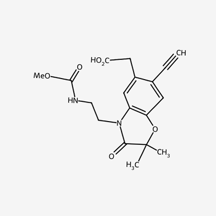 C#Cc1cc2c(cc1CC(=O)O)N(CCNC(=O)OC)C(=O)C(C)(C)O2